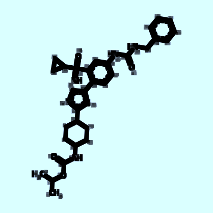 CC(C)OC(=O)NC1CCC(c2ncc(-c3ccc(NC(=O)NCc4ccccc4)cc3S(=N)(=O)C3CC3)s2)CC1